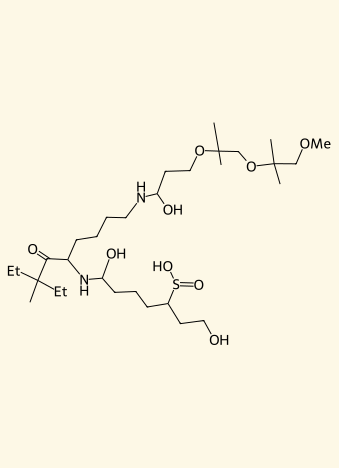 CCC(C)(CC)C(=O)C(CCCCNC(O)CCOC(C)(C)COC(C)(C)COC)NC(O)CCCC(CCO)S(=O)O